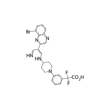 N=C/C(=C\NC1CCN(c2cccc(C(F)(F)C(=O)O)c2)CC1)c1cnc2cccc(Br)c2n1